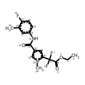 CCOC(=O)C(F)(F)c1cc(C(=O)Nc2ccc(F)c(C)c2)cn1C